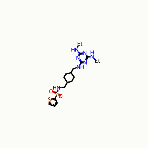 CCNc1nc(NCC)nc(NCC2CCC(CNS(=O)(=O)c3cccs3)CC2)n1